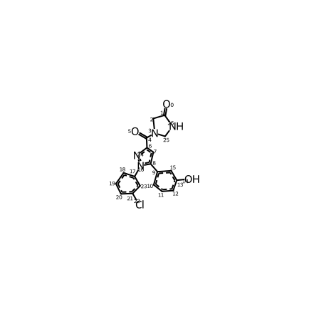 O=C1CN(C(=O)c2cc(-c3cccc(O)c3)n(-c3cccc(Cl)c3)n2)CN1